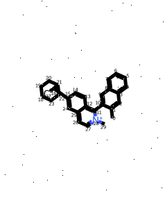 Cc1cc2ccccc2cc1-c1c2ccc(C3CC4CCC3CC4)cc2cc[n+]1C